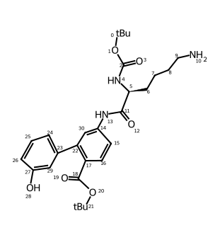 CC(C)(C)OC(=O)N[C@@H](CCCCN)C(=O)Nc1ccc(C(=O)OC(C)(C)C)c(-c2cccc(O)c2)c1